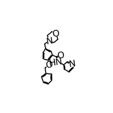 O=C(Nc1cccnc1)c1cc(CN2CCOCC2)ccc1OCc1ccccc1